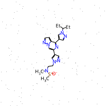 CCC(CC)n1cc(-c2nc(-c3cnn(CCN(C)[S+](C)[O-])c3)cn3nccc23)cn1